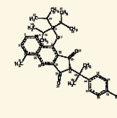 Cc1ccnc2c(O[Si](C(C)C)(C(C)C)C(C)C)c3c(nc12)C(=O)N(C(C)(C)c1ccc(F)cc1)C3=O